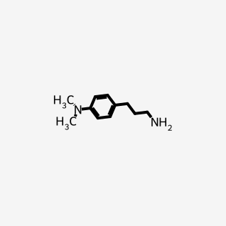 CN(C)c1ccc(CCCN)cc1